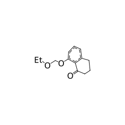 CCOCOc1cccc2c1C(=O)CCC2